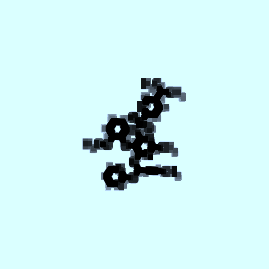 CC#CC(Oc1ncccn1)Oc1nc(C)nc(NS(=O)(=O)c2ccc(C(C)C)cn2)c1Oc1ccccc1OC